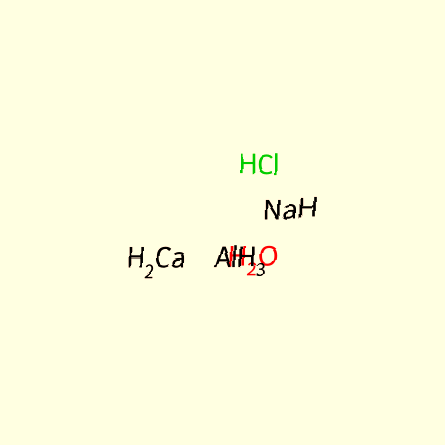 Cl.O.[AlH3].[CaH2].[NaH]